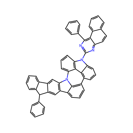 c1ccc(-c2nc(-n3c4cccc5c6cccc7c8cc9c(cc8n(c8cccc3c8c54)c67)-c3ccccc3C9c3ccccc3)nc3ccc4ccccc4c23)cc1